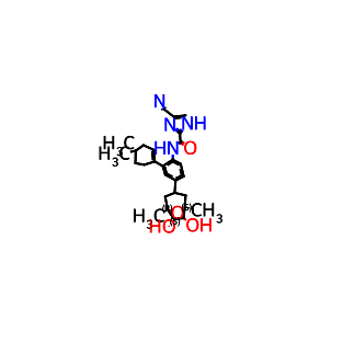 CC1(C)CC=C(c2cc(C3C[C@@]4(C)O[C@@](C)(C3)C(O)[C@@H]4O)ccc2NC(=O)c2nc(C#N)c[nH]2)CC1